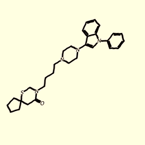 O=C1CC2(CCCC2)SCN1CCCCN1CCN(c2cn(-c3ccccc3)c3ccccc23)CC1